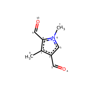 Cc1c(C=O)cn(C)c1C=O